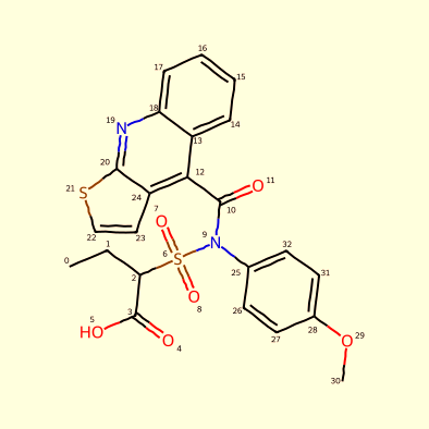 CCC(C(=O)O)S(=O)(=O)N(C(=O)c1c2ccccc2nc2sccc12)c1ccc(OC)cc1